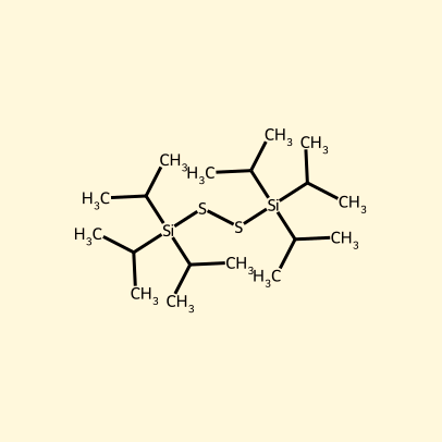 CC(C)[Si](SS[Si](C(C)C)(C(C)C)C(C)C)(C(C)C)C(C)C